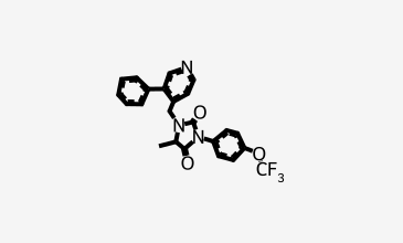 CC1C(=O)N(c2ccc(OC(F)(F)F)cc2)C(=O)N1Cc1ccncc1-c1ccccc1